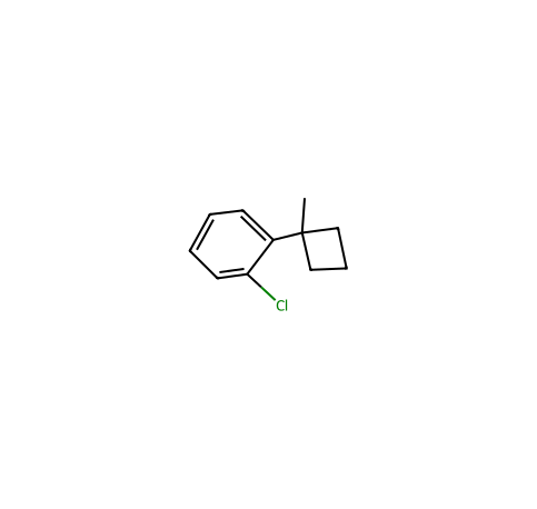 CC1(c2ccccc2Cl)CCC1